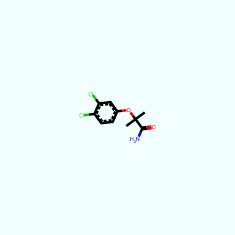 CC(C)(Oc1ccc(Cl)c(Cl)c1)C(N)=O